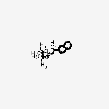 CC(CB1OC(C)(C)C(C)(C)O1)c1ccc2ccccc2c1